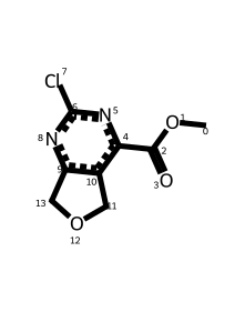 COC(=O)c1nc(Cl)nc2c1COC2